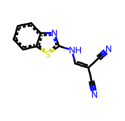 N#CC(C#N)=CNc1nc2ccccc2s1